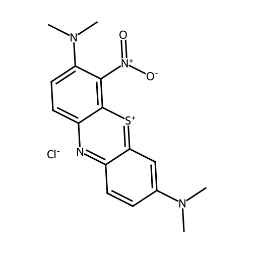 CN(C)c1ccc2nc3ccc(N(C)C)c([N+](=O)[O-])c3[s+]c2c1.[Cl-]